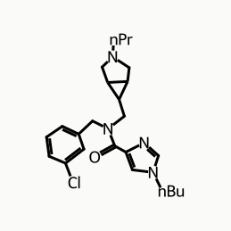 CCCCn1cnc(C(=O)N(Cc2cccc(Cl)c2)CC2C3CN(CCC)CC32)c1